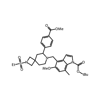 CCS(=O)(=O)N1CC2(CCN(Cc3c(OC)cc(C)c4c3ccn4C(=O)OC(C)(C)C)C(c3ccc(C(=O)OC)cc3)C2)C1